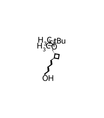 CC(C)(C)[Si](C)(C)OC[C@@H]1CC[C@H]1/C=C/C=C/CO